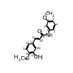 COc1cccc(NC(=O)C=Cc2ccc(OC)c(O)c2)c1